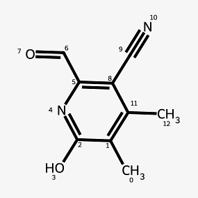 Cc1c(O)nc(C=O)c(C#N)c1C